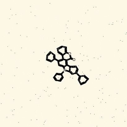 O=c1oc2ccccc2c2c(-c3ccccc3)cc3c(c4ccc(-c5ccccc5)cc4n3-c3ccccc3)c12